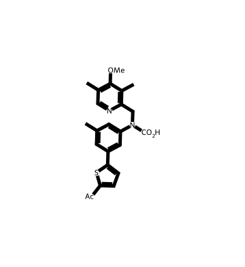 COc1c(C)cnc(CN(C(=O)O)c2cc(C)cc(-c3ccc(C(C)=O)s3)c2)c1C